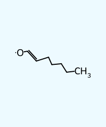 CCCCCC=C[O]